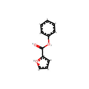 O=C(Oc1ccccc1)c1ccco1